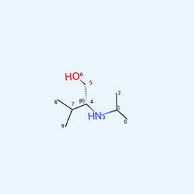 CC(C)N[C@@H](CO)C(C)C